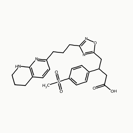 CS(=O)(=O)c1ccc(C(CC(=O)O)Cc2nc(CCCc3ccc4c(n3)NCCC4)no2)cc1